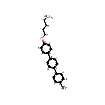 CC(C)c1ccc(-c2ccc(-c3ccc(OCCCCC(F)(F)F)cc3)cc2)cc1